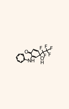 O=C1C=CC(O)(C(F)(F)C(F)(F)F)C=C1Nc1ccccc1